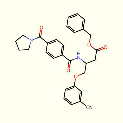 N#Cc1cccc(OCC(CC(=O)OCc2ccccc2)NC(=O)c2ccc(C(=O)N3CCCC3)cc2)c1